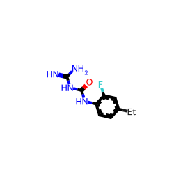 CCc1ccc(NC(=O)NC(=N)N)c(F)c1